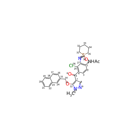 CC(=O)Nc1ccc(C(=O)c2cnn(C)c2OCc2ccc3ccccc3c2)c(Cl)c1N=S1(=O)CCCCC1